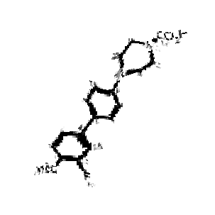 COc1ccc(-c2ccc(N3CCN(C(=O)O)CC3)cc2)cc1F